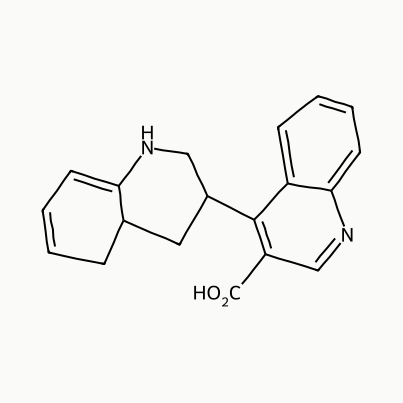 O=C(O)c1cnc2ccccc2c1C1CNC2=CC=CCC2C1